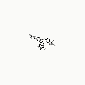 C=CC(=O)NCc1ccc2c(c1)c1c(n2Cc2ccc(C(=O)NO)cc2)CN2CC1C(=O)N(C)C2=O